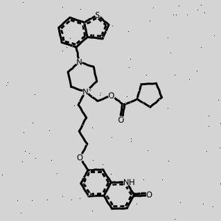 O=C(OC[N+]1(CCCCOc2ccc3ccc(=O)[nH]c3c2)CCN(c2cccc3sccc23)CC1)C1CCCC1